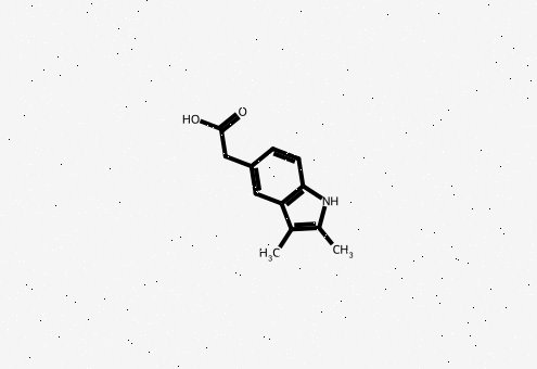 Cc1[nH]c2ccc(CC(=O)O)cc2c1C